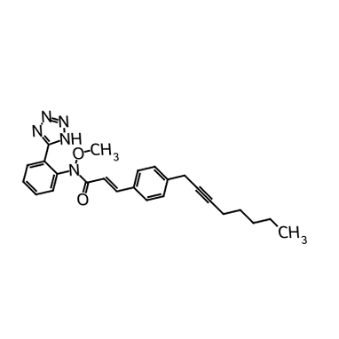 CCCCCC#CCc1ccc(C=CC(=O)N(OC)c2ccccc2-c2nnn[nH]2)cc1